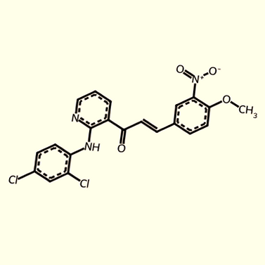 COc1ccc(/C=C/C(=O)c2cccnc2Nc2ccc(Cl)cc2Cl)cc1[N+](=O)[O-]